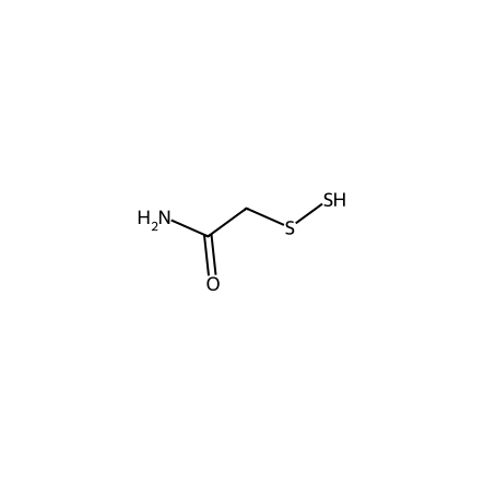 NC(=O)CSS